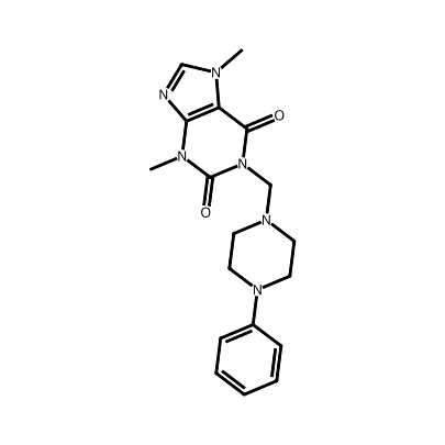 Cn1cnc2c1c(=O)n(CN1CCN(c3ccccc3)CC1)c(=O)n2C